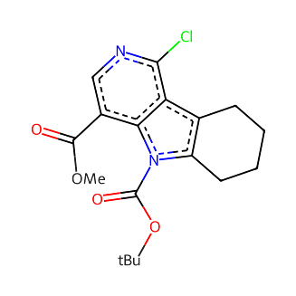 COC(=O)c1cnc(Cl)c2c3c(n(C(=O)OC(C)(C)C)c12)CCCC3